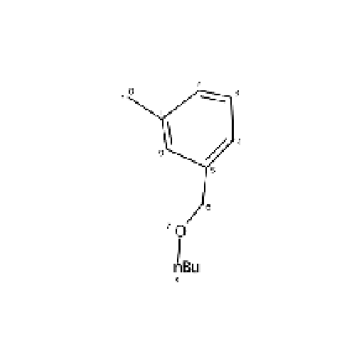 [CH2]c1cccc(COCCCC)c1